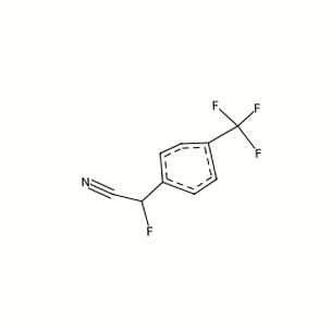 N#CC(F)c1ccc(C(F)(F)F)cc1